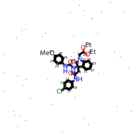 CCOC(CN1C(=O)C(CC(=O)Nc2ccc(Cl)cc2)(NC(=O)Nc2ccc(OC)cc2)c2ccccc21)OCC